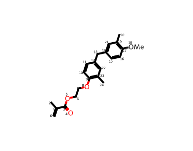 C=C(C)C(=O)OCCOc1ccc(Cc2ccc(OC)c(C)c2)cc1C